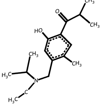 CCN(Cc1cc(O)c(C(=O)C(C)C)cc1C)C(C)C